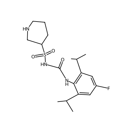 CC(C)c1cc(F)cc(C(C)C)c1NC(=O)NS(=O)(=O)C1CCCNC1